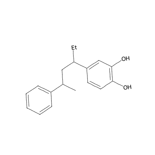 CCC(CC(C)c1ccccc1)c1ccc(O)c(O)c1